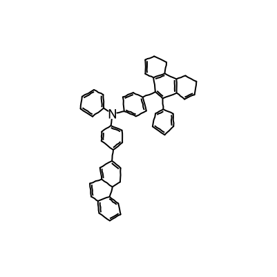 C1=Cc2c(c3c(c(-c4ccc(N(c5ccccc5)c5ccc(C6=CCC7C(=C6)C=Cc6ccccc67)cc5)cc4)c2-c2ccccc2)C=CCC3)CC1